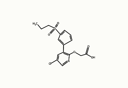 CCCS(=O)(=O)c1cccc(-c2cc(Cl)cnc2OCC(=O)O)c1